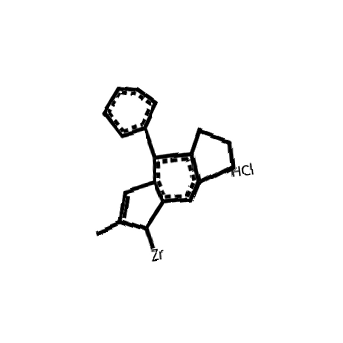 CC1=Cc2c(cc3c(c2-c2ccccc2)CCC3)[CH]1[Zr].Cl